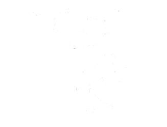 CC(=O)O[C@H]1C2CC3C(C(=O)OC31)C2C(=O)OC(CS(=O)(=O)O)(C(F)(F)F)C(F)(F)F